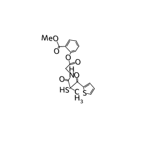 COC(=O)c1ccccc1OC(=O)CNC(=O)C(C)(S)C(=O)c1cccs1